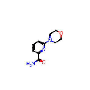 NC(=O)c1cccc(N2CCOCC2)n1